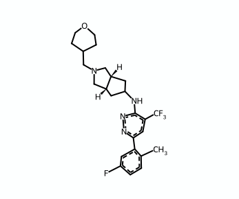 Cc1ccc(F)cc1-c1cc(C(F)(F)F)c(NC2C[C@@H]3CN(CC4CCOCC4)C[C@@H]3C2)nn1